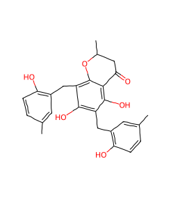 Cc1ccc(O)c(Cc2c(O)c(Cc3cc(C)ccc3O)c3c(c2O)C(=O)CC(C)O3)c1